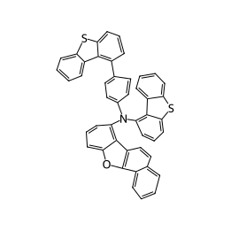 c1ccc2c(c1)ccc1c2oc2cccc(N(c3ccc(-c4cccc5sc6ccccc6c45)cc3)c3cccc4sc5ccccc5c34)c21